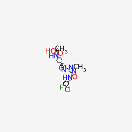 Cc1nc(C(=O)NCc2ccc(F)c(Cl)c2)cc(C2=NO[C@@H]([C@H]3CC[C@H](NC(=O)[C@H](C)O)CC3)C2)n1